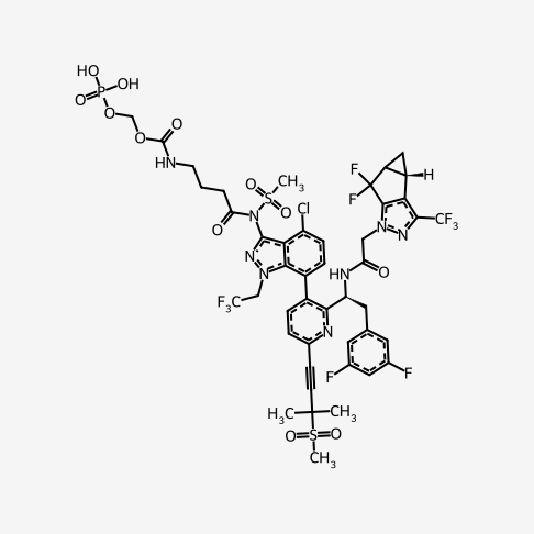 CC(C)(C#Cc1ccc(-c2ccc(Cl)c3c(N(C(=O)CCCNC(=O)OCOP(=O)(O)O)S(C)(=O)=O)nn(CC(F)(F)F)c23)c([C@H](Cc2cc(F)cc(F)c2)NC(=O)Cn2nc(C(F)(F)F)c3c2C(F)(F)C2C[C@H]32)n1)S(C)(=O)=O